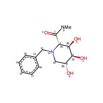 CNC(=O)[C@@H]1[C@@H](O)[C@@H](O)[C@H](O)CN1Cc1ccccc1